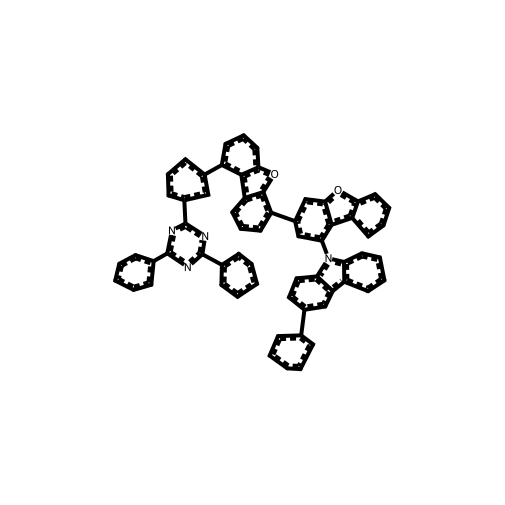 c1ccc(-c2ccc3c(c2)c2ccccc2n3-c2cc(-c3cccc4c3oc3cccc(-c5cccc(-c6nc(-c7ccccc7)nc(-c7ccccc7)n6)c5)c34)cc3oc4ccccc4c23)cc1